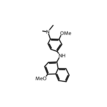 COc1cc(Nc2ccc(OC)c3ccccc23)ccc1N(C)C